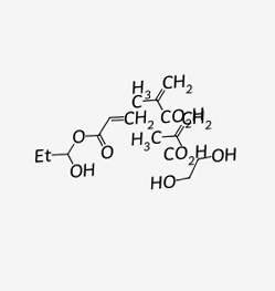 C=C(C)C(=O)O.C=C(C)C(=O)O.C=CC(=O)OC(O)CC.OCCO